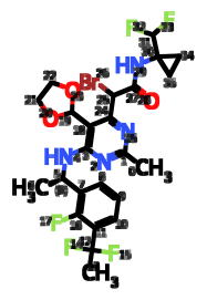 Cc1nc(N[C@H](C)c2cccc(C(C)(F)F)c2F)c(C2OCCO2)c(C(Br)C(=O)NC2(C(F)F)CC2)n1